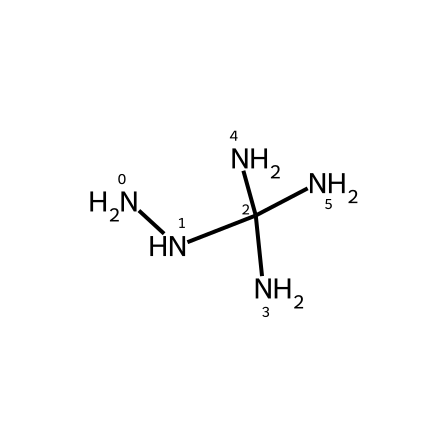 NNC(N)(N)N